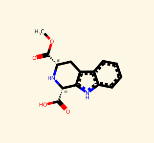 COC(=O)[C@@H]1Cc2c([nH]c3ccccc23)[C@H](C(=O)O)N1